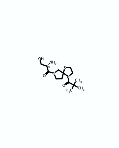 CC(C)(C)C(=O)N1CCSC12CCN(C(=O)[C@@H](N)CO)C2